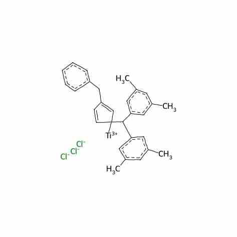 Cc1cc(C)cc(C(c2cc(C)cc(C)c2)[C]2([Ti+3])C=CC(Cc3ccccc3)=C2)c1.[Cl-].[Cl-].[Cl-]